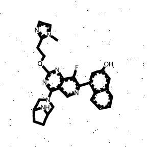 Cn1ccnc1CCOc1nc(N2CC3CCC(C2)N3)c2cnc(-c3cc(O)cc4ccccc34)c(F)c2n1